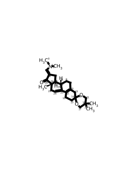 CN(C)C=C1C[C@H]2[C@@H]3CCC4=C(CCC5(C4)OCC(C)(C)CO5)C3=CC[C@]2(C)C1=O